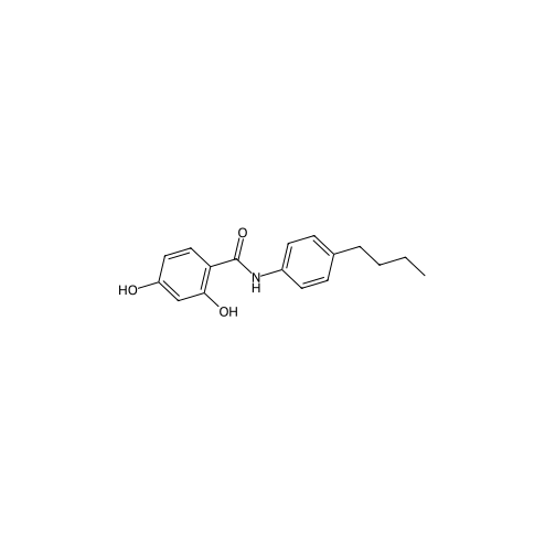 CCCCc1ccc(NC(=O)c2ccc(O)cc2O)cc1